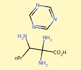 CCCC(N)C(N)(N)C(=O)O.c1ncncn1